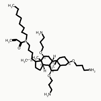 C=CC(=O)N(CCCCCCCC)CCC[C@@H](C)C1CC[C@H]2C3[C@H](OCCCN)CC4C[C@H](OCCCN)CCC4(C)[C@H]3C[C@H](OCCCN)C12C